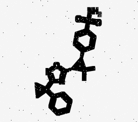 CC1(C)[C@H](c2ccc(S(N)(=O)=O)cc2)[C@H]1c1nc(C2(c3ccccc3)CC2)no1